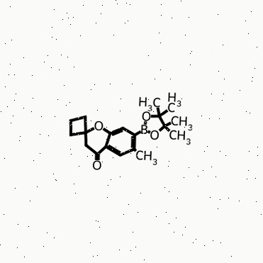 Cc1cc2c(cc1B1OC(C)(C)C(C)(C)O1)OC1(CCC1)CC2=O